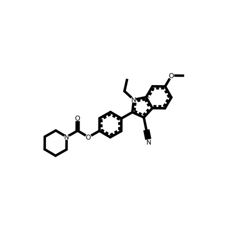 CCn1c(-c2ccc(OC(=O)N3CCCCC3)cc2)c(C#N)c2ccc(OC)cc21